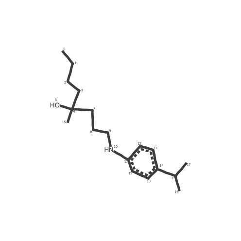 CCCCC(C)(O)CCCNc1ccc(C(C)C)cc1